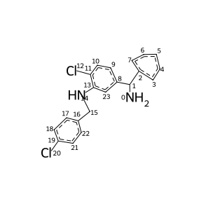 NC(c1ccccc1)c1ccc(Cl)c(NCc2ccc(Cl)cc2)c1